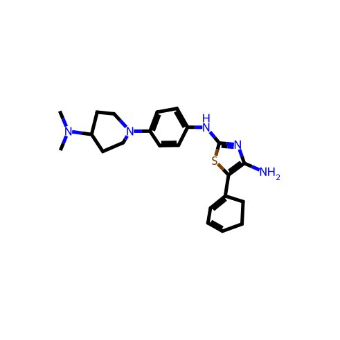 CN(C)C1CCN(c2ccc(Nc3nc(N)c(C4=CC=CCC4)s3)cc2)CC1